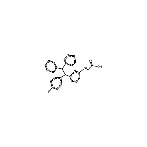 O=C(O)CNc1cccc(C(c2ccc(F)cc2)C(c2cccnc2)c2cccnc2)n1